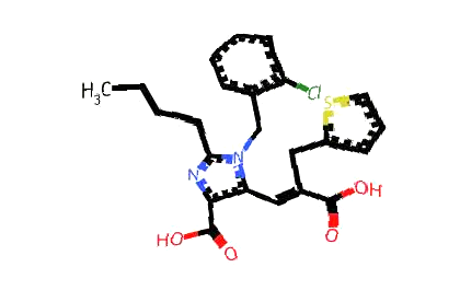 CCCCc1nc(C(=O)O)c(/C=C(\Cc2cccs2)C(=O)O)n1Cc1ccccc1Cl